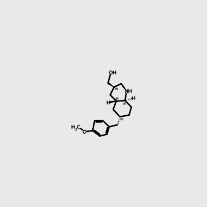 COc1ccc(C[C@H]2CC[C@@H]3NC[C@H](CO)C[C@H]3C2)cc1